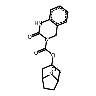 CN1C2CCC1CC(OC(=O)N1Cc3ccccc3NC1=O)C2